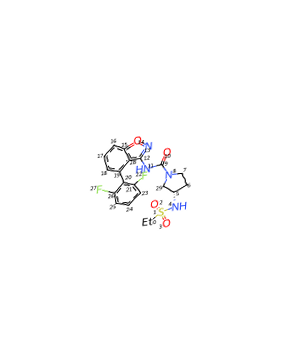 CCS(=O)(=O)N[C@H]1CCN(C(=O)Nc2noc3cccc(-c4c(F)cccc4F)c23)C1